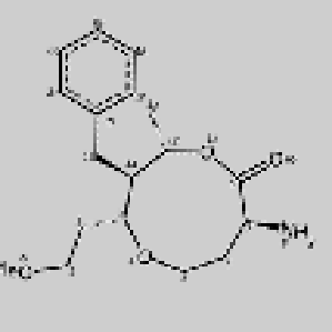 COCC[C@H]1OCC[C@H](N)C(=O)O[C@@H](C)[C@@H]1Cc1ccccc1